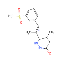 C/C(=C\c1cccc(S(C)(=O)=O)c1)C1NNC(=O)CC1C